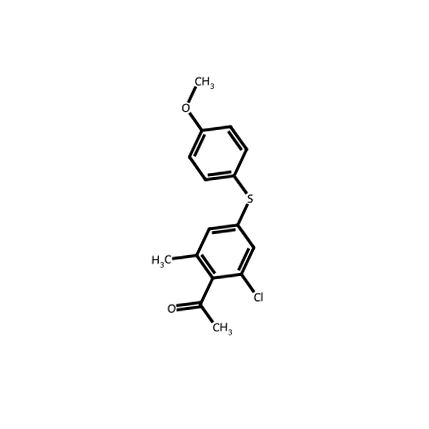 COc1ccc(Sc2cc(C)c(C(C)=O)c(Cl)c2)cc1